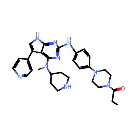 CCC(=O)N1CCN(c2ccc(Nc3nc(N(C)C4CCNCC4)c4c(-c5ccncc5)c[nH]c4n3)cc2)CC1